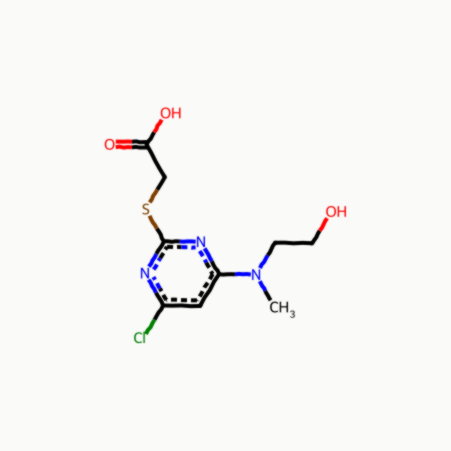 CN(CCO)c1cc(Cl)nc(SCC(=O)O)n1